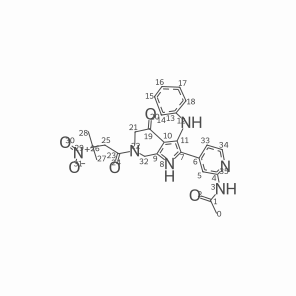 CC(=O)Nc1cc(-c2[nH]c3c(c2Nc2ccccc2)C(=O)CN(C(=O)CC(C)(C)[N+](=O)[O-])C3)ccn1